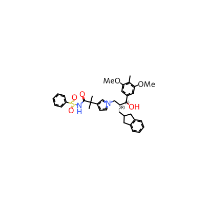 COc1cc([C@@H](O)[C@H](CC2Cc3ccccc3C2)Cn2ccc(C(C)(C)C(=O)NS(=O)(=O)c3ccccc3)c2)cc(OC)c1C